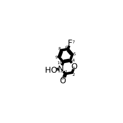 O=C1COc2cc(F)ccc2N1O